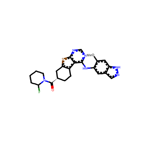 COc1cc2[nH]ncc2cc1Nc1ncnc2sc3c(c12)CC[C@H](C(=O)N1CCCCC1F)C3